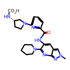 Cn1cc2cc(NC(=O)c3cccc(N4CC[C@H](NC(=O)O)C4)n3)c(N3CCCCC3)nc2n1